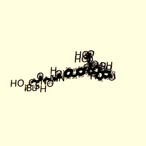 CCC(C)SC(CC(=O)O)C(=O)NCC(=O)NCC(=O)Nc1cccc(Cc2ccc(O[C@]3(C(=O)COP(=O)(O)O)CCC4[C@@H]5CCC6=CC(=O)C=C[C@]6(C)C5[C@@H](O)C[C@@]43C)cc2)c1